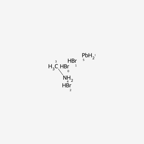 Br.Br.Br.CN.[PbH2]